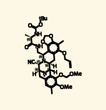 C=CCOc1c(C)c2c(c3c1C[C@H]1[C@@H]4c5c(cc(C)c(OC)c5OCOC)C[C@@H]([C@H](C#N)N1[C@H]3CNC(=O)[C@H](C)NC(=O)OC(C)(C)C)N4C)OCO2